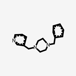 c1ccc(CN2CCN(Cc3cccnc3)CC2)cc1